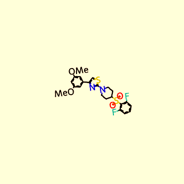 COc1cc(OC)cc(-c2csc(N3CCC(S(=O)(=O)c4c(F)cccc4F)CC3)n2)c1